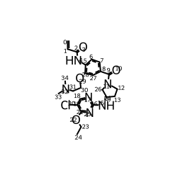 C=CC(=O)Nc1ccc(C(=O)N2CC[C@H](Nc3ncc(Cl)c(OCC)n3)C2)cc1OCCN(C)C